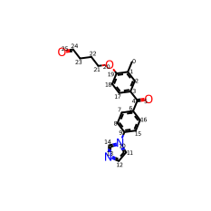 Cc1cc(C(=O)c2ccc(-n3ccnc3)cc2)ccc1OCCCC=O